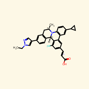 CCn1cc(-c2ccc3c(c2)C[C@@H](C)N2c4ccc(C5CC5)cc4-c4cc(/C=C/C(=O)O)cc(F)c4[C@H]32)cn1